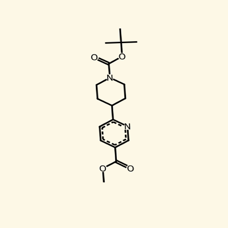 COC(=O)c1ccc(C2CCN(C(=O)OC(C)(C)C)CC2)nc1